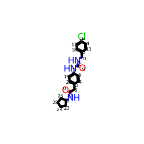 O=C(Cc1ccc(NC(=O)NCc2ccc(Cl)cc2)cc1)NC1CCCC1